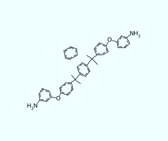 CC(C)(c1ccc(Oc2cccc(N)c2)cc1)c1ccc(C(C)(C)c2ccc(Oc3cccc(N)c3)cc2)cc1.c1ccccc1